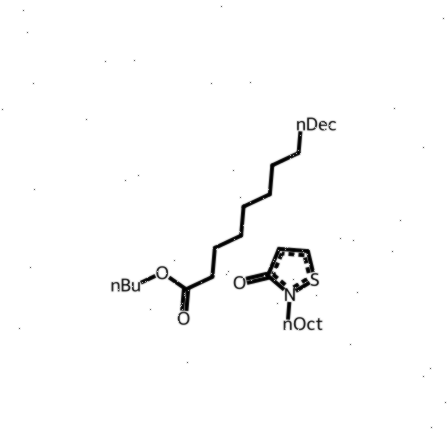 CCCCCCCCCCCCCCCCCC(=O)OCCCC.CCCCCCCCn1sccc1=O